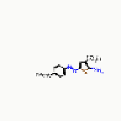 CCCCCc1ccc(N=Nc2cc(C(=O)OCC)c(N)s2)cc1